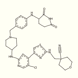 N#CC1(CNc2nc(-c3cc(NC4CCN(Cc5ccc(NC6CCC(=O)NC6=O)cc5)CC4)ncc3Cl)cs2)CCOCC1